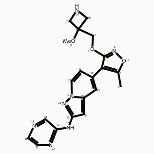 COC1(COc2noc(C)c2-c2ccn3nc(Nc4cnccn4)cc3c2)CNC1